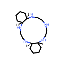 C1CC[C@H]2NCCN[C@@H]3CCCC[C@H]3NCCNCCN[C@@H]2C1